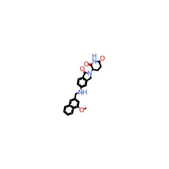 COc1cc(CNc2ccc3c(c2)CN(C2CCC(=O)NC2=O)C3=O)cc2ccccc12